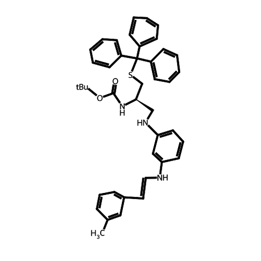 Cc1cccc(/C=C/Nc2cccc(NC[C@H](CSC(c3ccccc3)(c3ccccc3)c3ccccc3)NC(=O)OC(C)(C)C)c2)c1